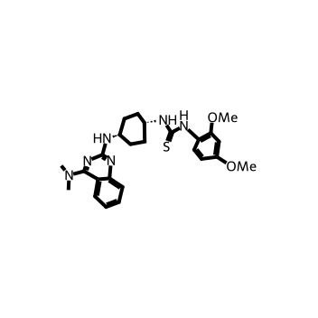 COc1ccc(NC(=S)N[C@H]2CC[C@@H](Nc3nc(N(C)C)c4ccccc4n3)CC2)c(OC)c1